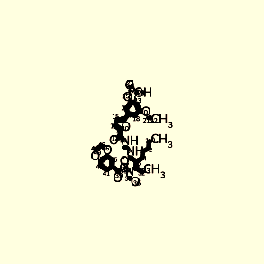 CCCCCC(C(=O)NCNC(=O)c1ccc(-c2cc(OCC)cc(O[PH](=O)O)c2)o1)C(CC)N(C=O)OC(=O)c1ccc2c(c1)OCCO2